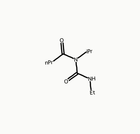 CCCC(=O)N(C(=O)NCC)C(C)C